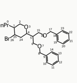 CCCC1COC(C(COCc2ccccc2)COCc2ccccc2)CC1Br